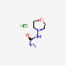 Cl.NC(=O)NN1CCOCC1